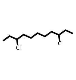 CCC(Cl)CCCCCC(Cl)CC